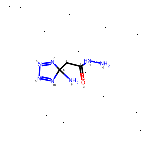 NNC(=O)CC1(N)N=NN=N1